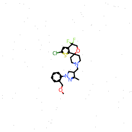 COCc1ccccc1N1CC(CN2CCC3(CC2)OCC(F)(F)c2cc(Cl)sc23)C(C)=N1